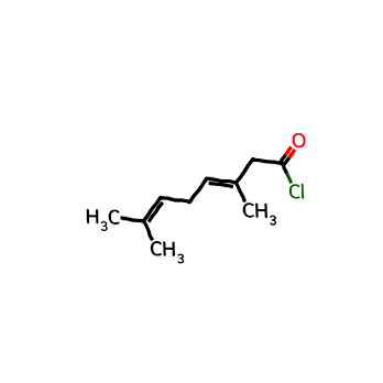 CC(C)=CC/C=C(\C)CC(=O)Cl